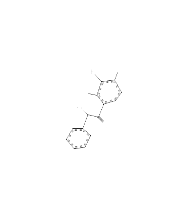 O=C(c1ccc(F)c(F)c1F)C(O)c1ccccc1